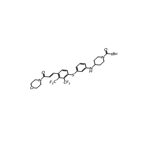 CC(C)(C)C(=O)N1CCC(Nc2cccc(Sc3ccc(/C=C/C(=O)N4CCOCC4)c(C(F)(F)F)c3C(F)(F)F)c2)CC1